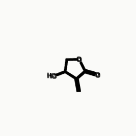 C=C1C(=O)OCC1O